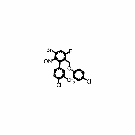 O=Nc1c(Br)cc(F)c(COc2ccc(Cl)cc2)c1-c1ccc(Cl)c(C(F)(F)F)c1